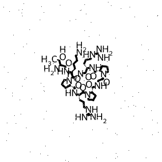 C[C@@H](O)[C@H](N)C(=O)N[C@@H](CCCCN)C(=O)N1CCC[C@H]1C(=O)N[C@@H](CCCNC(=N)N)C(=O)N1CCC[C@H]1C(=O)NCC(=O)N1CCC[C@H]1C(=O)N[C@@H](CCCNC(=N)N)C(N)=O